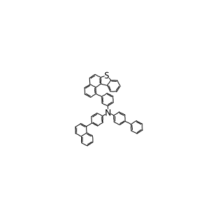 c1ccc(-c2ccc(N(c3ccc(-c4cccc5ccccc45)cc3)c3cccc(-c4cccc5ccc6sc7ccccc7c6c45)c3)cc2)cc1